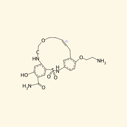 NCCOc1ccc2cc1C/C=C/CCOCCNc1cc(O)c(C(N)=O)cc1S(=O)(=O)N2